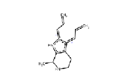 C=C/C=c1/c2c([nH]/c1=C/C=C)C(C)NCC2